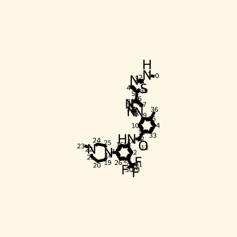 CNc1ncc(-c2cn(-c3cc(C(=O)Nc4cc(N5CCCN(C)CC5)cc(C(F)(F)F)c4)ccc3C)nn2)s1